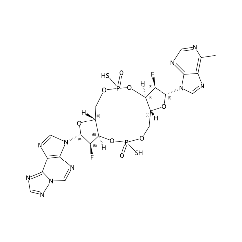 Cc1ncnc2c1ncn2[C@@H]1O[C@@H]2COP(=O)(S)O[C@H]3[C@@H](F)[C@H](n4cnc5c4ncn4ncnc54)O[C@@H]3COP(=O)(S)O[C@H]2[C@H]1F